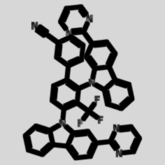 N#Cc1cccc(-c2ccc(-n3c4ccccc4c4ccc(-c5ncccn5)cc43)c(C(F)(F)F)c2-n2c3ccccc3c3ccc(-c4ncccn4)cc32)c1